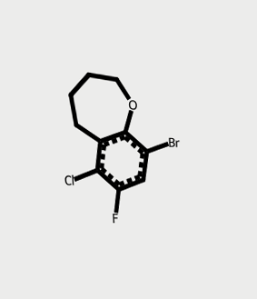 Fc1cc(Br)c2c(c1Cl)CCCCO2